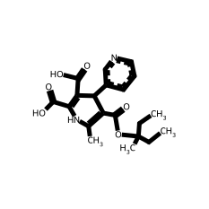 CCC(C)(CC)OC(=O)C1=C(C)NC(C(=O)O)=C(C(=O)O)C1c1cccnc1